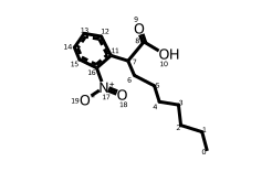 CCCCCCCC(C(=O)O)c1ccccc1[N+](=O)[O-]